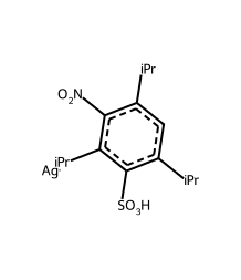 CC(C)c1cc(C(C)C)c(S(=O)(=O)O)c(C(C)C)c1[N+](=O)[O-].[Ag]